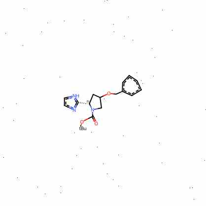 CC(C)(C)OC(=O)N1CC(OCc2ccccc2)C[C@H]1c1ncc[nH]1